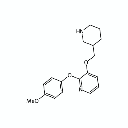 COc1ccc(Oc2ncccc2OCC2CCCNC2)cc1